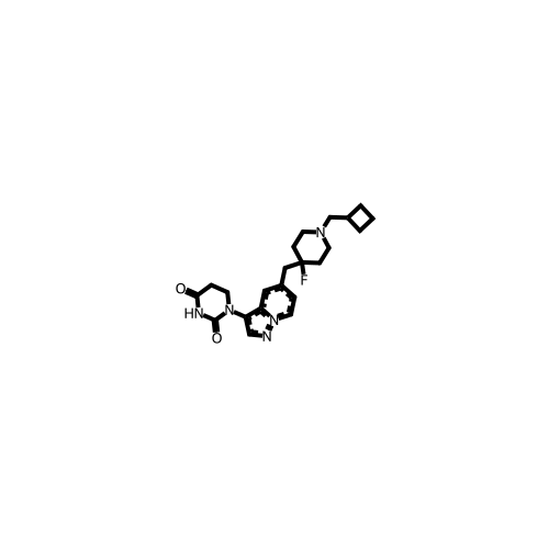 O=C1CCN(c2cnn3ccc(CC4(F)CCN(CC5CCC5)CC4)cc23)C(=O)N1